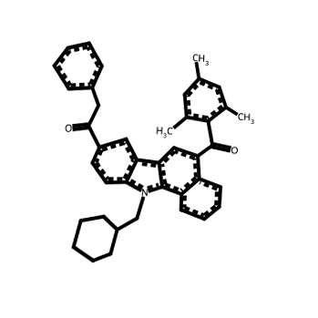 Cc1cc(C)c(C(=O)c2cc3c4cc(C(=O)Cc5ccccc5)ccc4n(CC4CCCCC4)c3c3ccccc23)c(C)c1